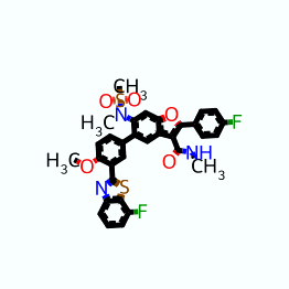 CNC(=O)c1c(-c2ccc(F)cc2)oc2cc(N(C)S(C)(=O)=O)c(-c3ccc(OC)c(-c4nc5cccc(F)c5s4)c3)cc12